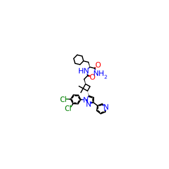 CC1(C)[C@@H](CC(=O)N[C@@H](CC2CCCCC2)C(N)=O)C[C@@H]1c1cc(-c2cccnc2)nn1-c1ccc(Cl)c(Cl)c1